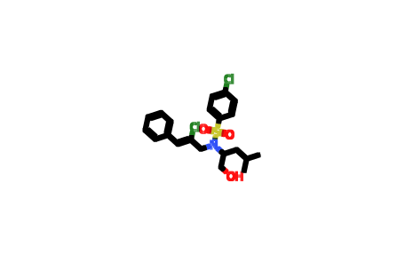 CC(C)CC(CO)N(C/C(Cl)=C/c1ccccc1)S(=O)(=O)c1ccc(Cl)cc1